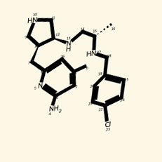 Cc1cc(N)nc(C[C@H]2CNC[C@H]2NC[C@H](C)NCc2ccc(Cl)cc2)c1